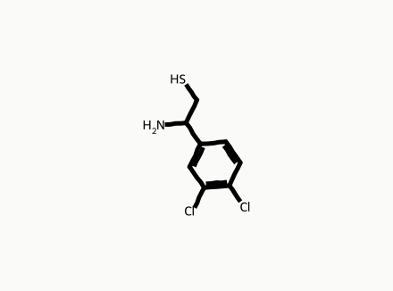 NC(CS)c1ccc(Cl)c(Cl)c1